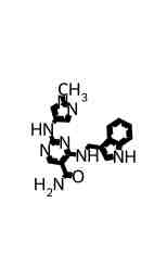 Cn1cc(Nc2ncc(C(N)=O)c(NCc3c[nH]c4ccccc34)n2)cn1